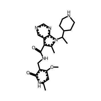 COc1cc(C)[nH]c(=O)c1CNC(=O)c1c(C)n(C(C)C2CCNCC2)c2ncncc12